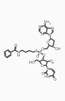 COC1C(OP(=O)(OCC2O[C@@H](n3cnc4c(N)ncnc43)C[C@H]2O)SCCCCNC(=O)c2ccccc2)C(CO)OC1n1ccc(=O)[nH]c1=O